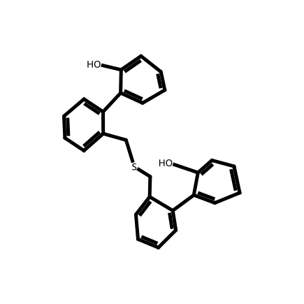 Oc1ccccc1-c1ccccc1CSCc1ccccc1-c1ccccc1O